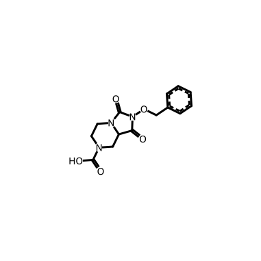 O=C(O)N1CCN2C(=O)N(OCc3ccccc3)C(=O)C2C1